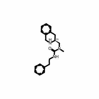 CN(C[C@@H]1Cc2ccccc2CN1)C(=O)NCCc1ccccc1